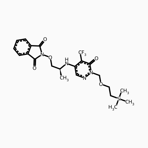 C[C@@H](CON1C(=O)c2ccccc2C1=O)Nc1cnn(COCC[Si](C)(C)C)c(=O)c1C(F)(F)F